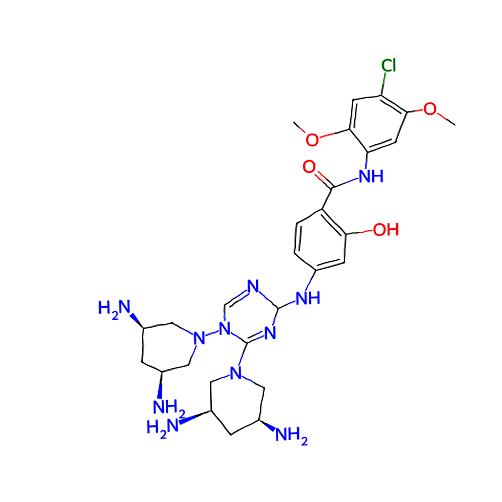 COc1cc(NC(=O)c2ccc(NC3N=CN(N4C[C@H](N)C[C@H](N)C4)C(N4C[C@H](N)C[C@H](N)C4)=N3)cc2O)c(OC)cc1Cl